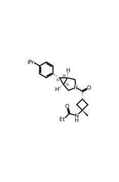 CCC(=O)N[C@]1(C)C[C@H](C(=O)N2C[C@@H]3[C@H](C2)[C@H]3c2ccc(C(C)C)cc2)C1